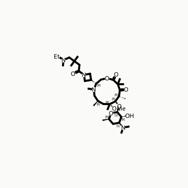 CCN(C)CC(C)(C)CC(=O)N1CC([C@@H]2COC(=O)C(C)(C)C(=O)[C@H](C)[C@@H](O[C@@H]3O[C@H](C)C[C@H](N(C)C)[C@H]3O)[C@](C)(OC)C[C@@H](C)CN2C)C1